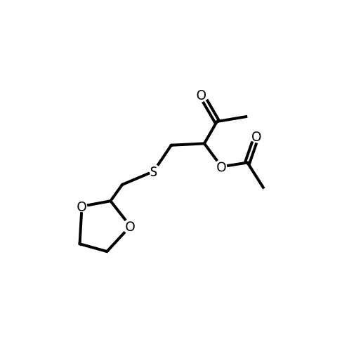 CC(=O)OC(CSCC1OCCO1)C(C)=O